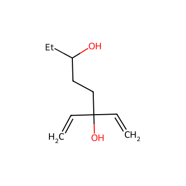 C=CC(O)(C=C)CCC(O)CC